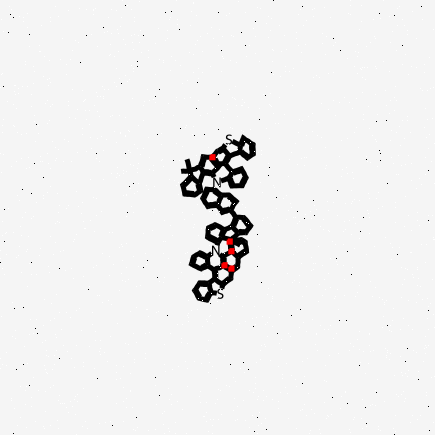 CC1(C)c2ccccc2-c2c(N(c3ccccc3-c3cccc4sc5ccccc5c34)c3cccc4cc(-c5cccc6c5-c5cccc(N(c7ccccc7-c7cccc8sc9ccccc9c78)c7cccc8ccccc78)c5C6(C)C)ccc34)cccc21